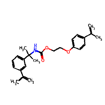 C=C(C)c1ccc(OCCOC(=O)NC(C)(C)c2cccc(C(=C)C)c2)cc1